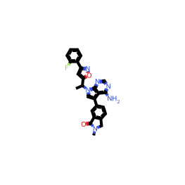 CC(c1cc(-c2ccccc2F)no1)n1cc(-c2ccc3c(c2)C(=O)N(C)C3)c2c(N)ncnc21